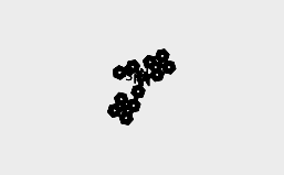 c1ccc(C2(c3ccccc3)c3ccccc3-c3ccc(-c4ccc(-c5nc(-c6cccc7c6-c6ccccc6C7(c6ccccc6)c6ccccc6)nc(-c6cccc7c6sc6ccccc67)n5)cc4)cc32)cc1